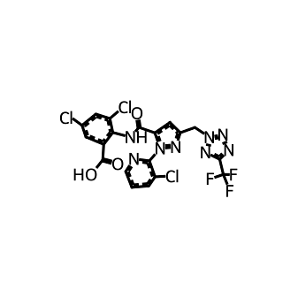 O=C(O)c1cc(Cl)cc(Cl)c1NC(=O)c1cc(Cn2nnc(C(F)(F)F)n2)nn1-c1ncccc1Cl